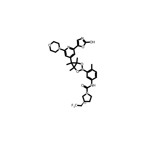 Cc1ccc(NC(=O)N2CC[C@@H](CC(F)(F)F)C2)cc1B1OC2(C)C(C)(O1)C2(C)c1cc(-c2cnc(O)o2)nc(N2CCOCC2)c1